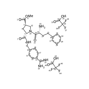 COC(=O)[C@@H]1C[C@@H](C(=O)NCc2ccc(C(=N)N)cc2)N(C(=O)[C@H](N)CCc2ccccc2)C1.O=C(O)C(F)(F)F.O=C(O)C(F)(F)F